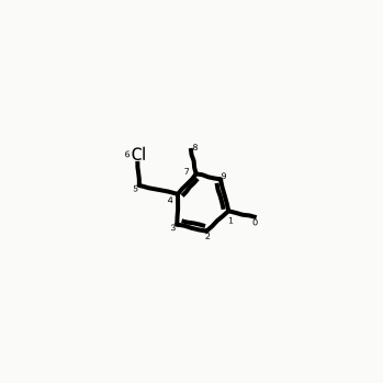 Cc1ccc(CCl)c(C)c1